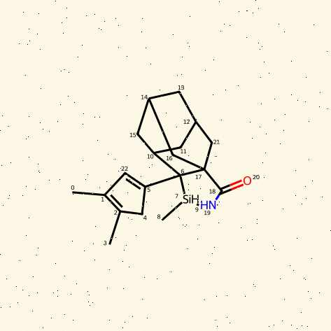 CC1=C(C)CC(C2([SiH](C)C)C3CC4CC(C3)CC2(C([NH])=O)C4)=C1